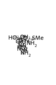 CSCCC(N)C(=O)O[C@@H]1[C@H](O)[C@@H](CO)O[C@H]1n1cnc2c(N)ncnc21